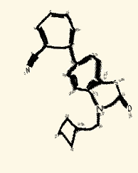 N#Cc1ccccc1-c1ccc2c(c1)sc(=O)n2CC1CCC1